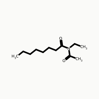 CCCCCCCC(=O)N(CC)C(C)=O